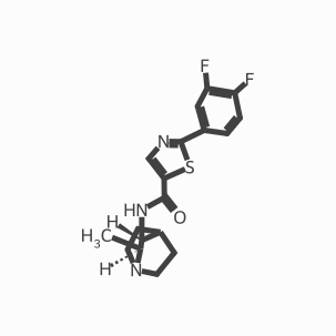 C[C@H]1[C@H](NC(=O)c2cnc(-c3ccc(F)c(F)c3)s2)C2CCN1CC2